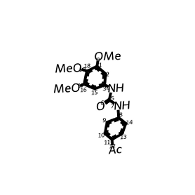 COc1cc(NC(=O)Nc2ccc(C(C)=O)cc2)cc(OC)c1OC